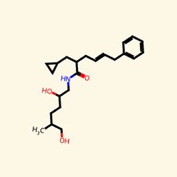 CC(CO)CCC(O)CNC(=O)C(CC=CCc1ccccc1)CC1CC1